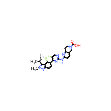 CC(C)c1c2c(F)c(-c3nc(Nc4ccc5c(n4)CCN(C(=O)O)C5)ncc3F)ccc2nn1C